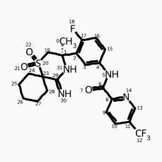 C[C@@]1(c2cc(NC(=O)c3ccc(C(F)(F)F)cn3)ccc2F)CS(=O)(=O)C2(CCCCC2)C(=N)N1